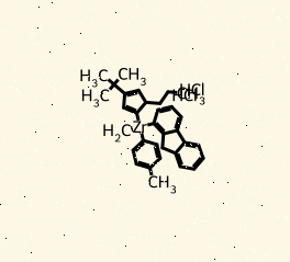 Cl.Cl.[CH2]=[Zr]([C]1=CC(C(C)(C)C)=CC1CCC)([c]1ccc(C)cc1)[c]1cccc2c1Cc1ccccc1-2